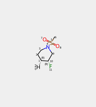 [2H][C@@H]1CCN(S(C)(=O)=O)C[C@@H]1F